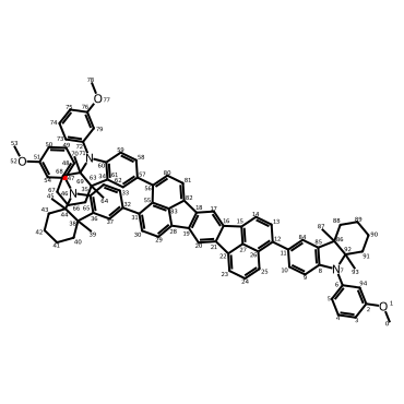 COc1cccc(N2c3ccc(-c4ccc5c6cc7c(cc6c6cccc4c65)c4ccc(-c5ccc6c(c5)C5(C)CCCCC5(C)N6c5cccc(OC)c5)c5c(-c6ccc8c(c6)C6(C)CCCCC6(C)N8c6cccc(OC)c6)ccc7c54)cc3C3(C)CCCCC23C)c1